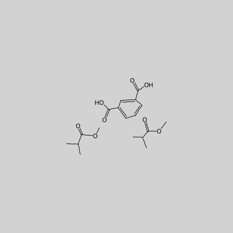 COC(=O)C(C)C.COC(=O)C(C)C.O=C(O)c1cccc(C(=O)O)c1